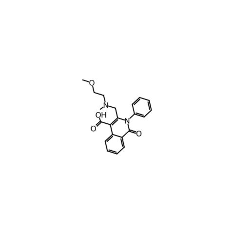 COCCN(C)Cc1c(C(=O)O)c2ccccc2c(=O)n1-c1ccccc1